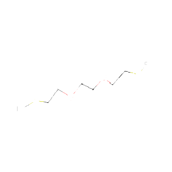 CCSCCOCCOCCSCC